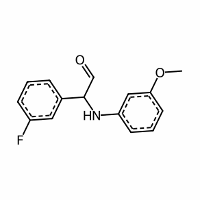 COc1cccc(NC(C=O)c2cccc(F)c2)c1